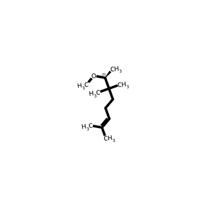 CO[C@@H](C)C(C)(C)CCC=C(C)C